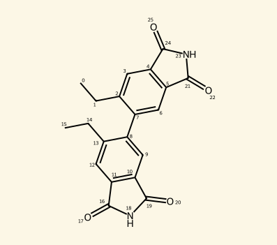 CCc1cc2c(cc1-c1cc3c(cc1CC)C(=O)NC3=O)C(=O)NC2=O